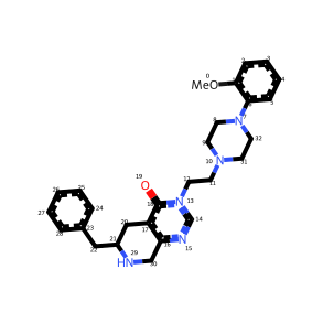 COc1ccccc1N1CCN(CCn2cnc3c(c2=O)CC(Cc2ccccc2)NC3)CC1